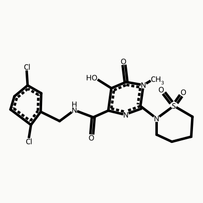 Cn1c(N2CCCCS2(=O)=O)nc(C(=O)NCc2cc(Cl)ccc2Cl)c(O)c1=O